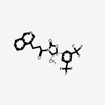 C[C@H]1[C@@H](c2cc(C(F)(F)F)cc(C(F)(F)F)c2)OC(=O)N1C(=O)CCc1cncc2ccccc12